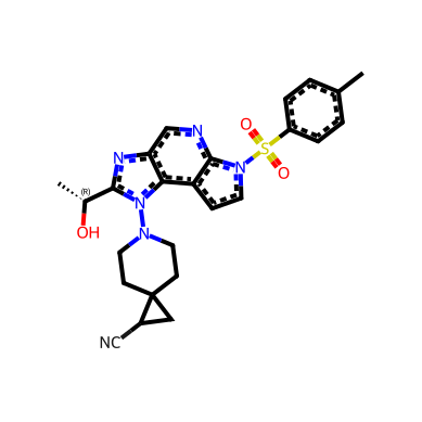 Cc1ccc(S(=O)(=O)n2ccc3c2ncc2nc([C@@H](C)O)n(N4CCC5(CC4)CC5C#N)c23)cc1